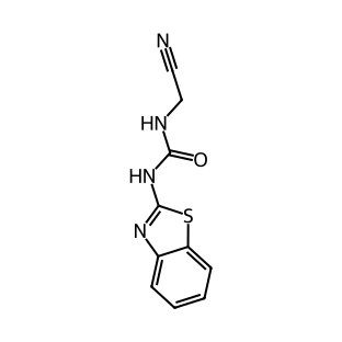 N#CCNC(=O)Nc1nc2ccccc2s1